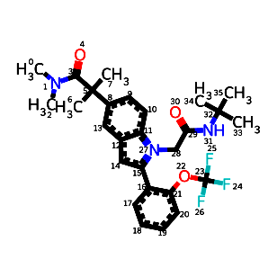 CN(C)C(=O)C(C)(C)c1ccc2c(c1)cc(-c1ccccc1OC(F)(F)F)n2CC(=O)NC(C)(C)C